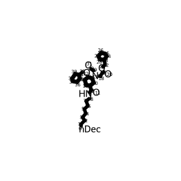 CCCCCCCCCCCCCCCCCCNC(=O)c1cccc(N(CC(=O)OCc2ccccc2)CC(=O)OCc2ccccc2)c1